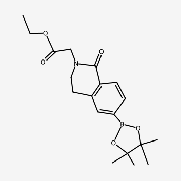 CCOC(=O)CN1CCc2cc(B3OC(C)(C)C(C)(C)O3)ccc2C1=O